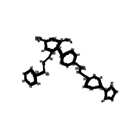 Nc1nc(N)c(-c2ccc(NCc3ccc(-c4ncco4)cc3)cc2)c(COCc2ccccc2)n1